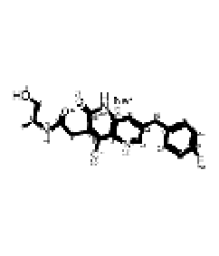 C[C@@H](CO)NC(=O)Cc1c([O-])c2ncc(Cc3ccc(F)cc3)cc2[nH]c1=O.[Na+]